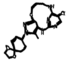 Cc1c2c(nn1C1CCC3(CC1)OCCO3)OCCCNc1nc(ncc1Cl)N2